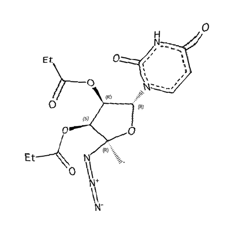 [CH2][C@@]1(N=[N+]=[N-])O[C@@H](n2ccc(=O)[nH]c2=O)[C@H](OC(=O)CC)[C@@H]1OC(=O)CC